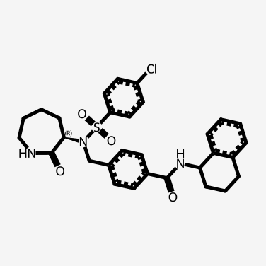 O=C(NC1CCCc2ccccc21)c1ccc(CN([C@@H]2CCCCNC2=O)S(=O)(=O)c2ccc(Cl)cc2)cc1